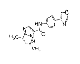 Cc1cc(C)c2ncc(C(=O)Nc3ccc(-c4cocn4)cc3)n2n1